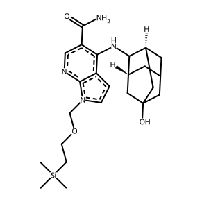 C[Si](C)(C)CCOCn1ccc2c(NC3[C@@H]4CC5C[C@H]3CC(O)(C5)C4)c(C(N)=O)cnc21